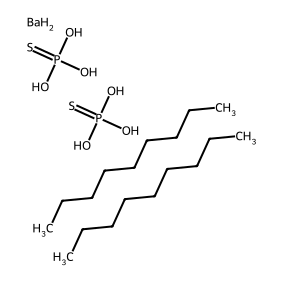 CCCCCCCCC.CCCCCCCCC.OP(O)(O)=S.OP(O)(O)=S.[BaH2]